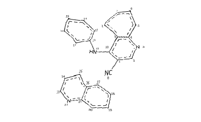 N#Cc1cnc2ccccc2c1Nc1ccccc1.c1ccc2ncccc2c1